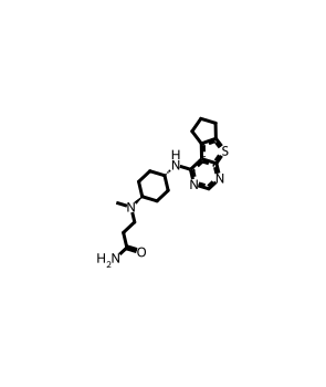 CN(CCC(N)=O)[C@H]1CC[C@H](Nc2ncnc3sc4c(c23)CCC4)CC1